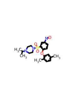 Cc1ccc(C)c(Oc2ccc(N=O)cc2S(=O)(=O)N2CCN(C(C)C)CC2)c1